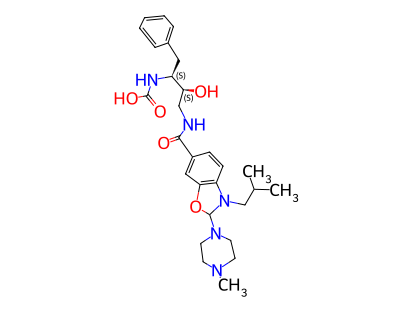 CC(C)CN1c2ccc(C(=O)NC[C@H](O)[C@H](Cc3ccccc3)NC(=O)O)cc2OC1N1CCN(C)CC1